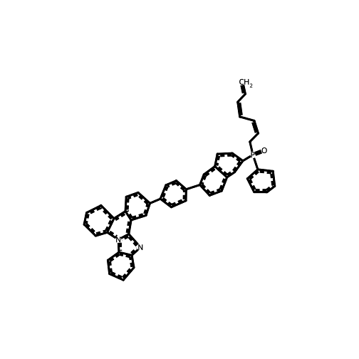 C=C/C=C\C=C/CP(=O)(c1ccccc1)c1ccc2cc(-c3ccc(-c4ccc5c6ccccc6n6c7ccccc7nc6c5c4)cc3)ccc2c1